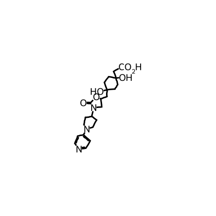 O=C(O)CC1(O)CCC(O)(CC2CN(C3CCN(c4ccncc4)CC3)C(=O)O2)CC1